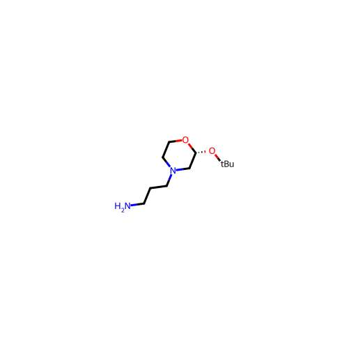 CC(C)(C)O[C@@H]1CN(CCCN)CCO1